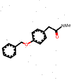 CNC(=O)Cc1ccc(OCc2ccccc2)cc1